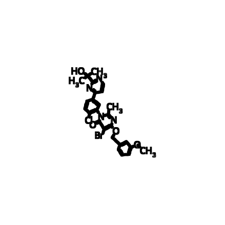 COc1cccc(COc2nc(C)n(-c3cc(-c4ccnc(C(C)(C)O)n4)ccc3Cl)c(=O)c2Br)c1